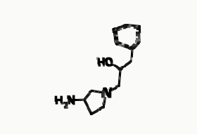 NC1CCN(CC(O)Cc2ccccc2)C1